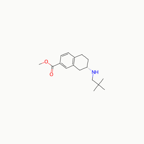 COC(=O)c1ccc2c(c1)C[C@@H](NCC(C)(C)C)CC2